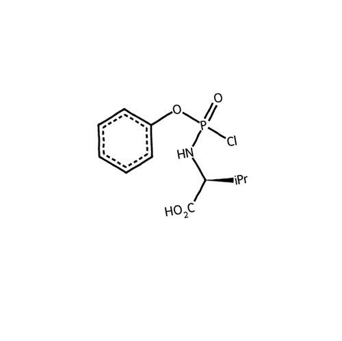 CC(C)[C@H](NP(=O)(Cl)Oc1ccccc1)C(=O)O